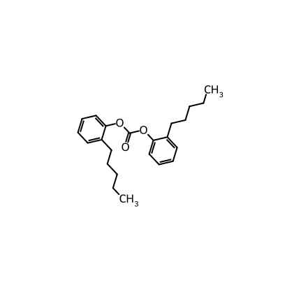 CCCCCc1ccccc1OC(=O)Oc1ccccc1CCCCC